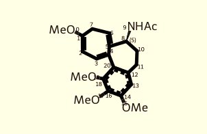 COC1=CC=C2C(=CC1)[C@@H](NC(C)=O)CCc1cc(OC)c(OC)c(OC)c12